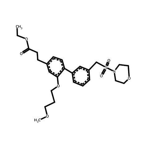 CCOC(=O)CCc1ccc(-c2cccc(CS(=O)(=O)N3CCOCC3)c2)c(OCCCOC)c1